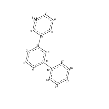 [c]1ccc(-c2cccnc2)cc1-c1ccccc1